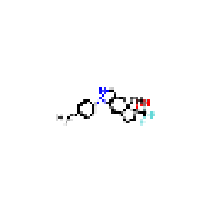 Cc1ccc(-n2ncc3c2C=C2CC[C@@](O)(C(F)(F)F)[C@@]2(C)C3)cc1